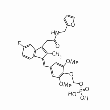 COc1cc(C=C2C(C)=C(CC(=O)NCc3ccco3)c3cc(F)ccc32)cc(OC)c1OCOP(=O)(O)O